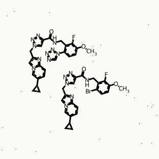 COc1ccc(-n2cnnn2)c(CNC(=O)c2cn(Cc3cn4cc(C5CC5)ccc4n3)nn2)c1F.COc1ccc(Br)c(CNC(=O)c2cn(Cc3cn4cc(C5CC5)ccc4n3)nn2)c1F